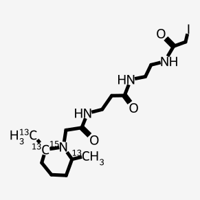 [13CH3]C1CCC[13CH]([13CH3])[15N]1CC(=O)NCCC(=O)NCCNC(=O)CI